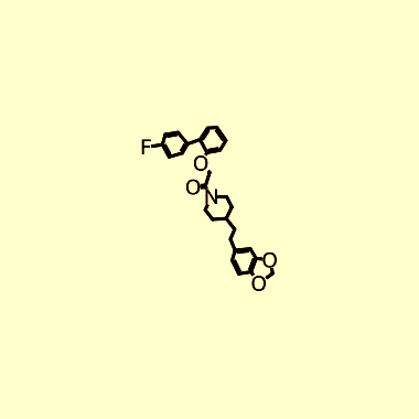 O=C(COc1ccccc1-c1ccc(F)cc1)N1CCC(CCc2ccc3c(c2)OCO3)CC1